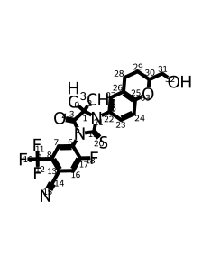 CC1(C)C(=O)N(c2cc(C(F)(F)F)c(C#N)cc2F)C(=S)N1c1ccc2c(c1)CCC(CO)O2